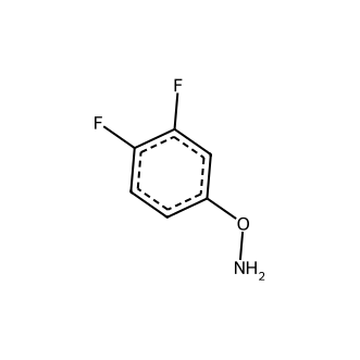 NOc1ccc(F)c(F)c1